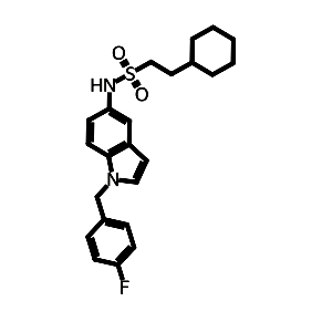 O=S(=O)(CCC1CCCCC1)Nc1ccc2c(ccn2Cc2ccc(F)cc2)c1